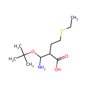 CCSCCC(C(=O)O)C(N)OC(C)(C)C